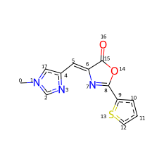 Cn1cnc(/C=C2\N=C(c3cccs3)OC2=O)c1